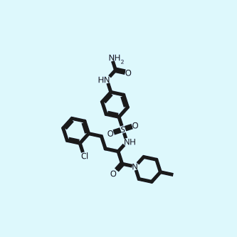 CC1CCN(C(=O)C(CCc2ccccc2Cl)NS(=O)(=O)c2ccc(NC(N)=O)cc2)CC1